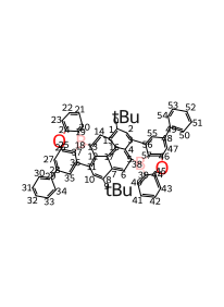 CC(C)(C)c1cc2c3c(cc4c(C(C)(C)C)cc5c6c(cc1c3c46)B1c3ccccc3Oc3cc(-c4ccccc4)cc-5c31)B1c3ccccc3Oc3cc(-c4ccccc4)cc-2c31